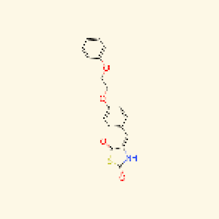 O=C1NC(=Cc2ccc(OCCOc3ccccc3)cc2)C(=O)S1